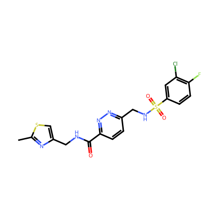 Cc1nc(CNC(=O)c2ccc(CNS(=O)(=O)c3ccc(F)c(Cl)c3)nn2)cs1